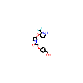 O=C(COc1ccc(CO)cc1)N1CCC(OC2=CC=CNC2C(F)F)C1